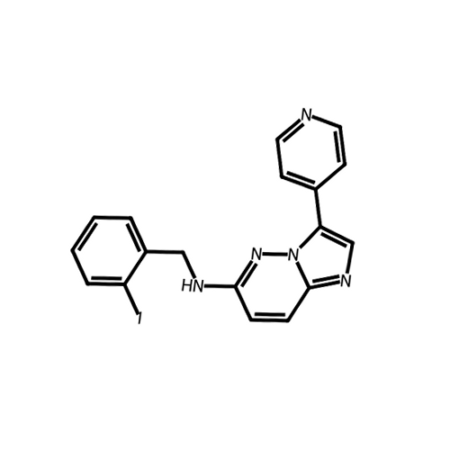 Ic1ccccc1CNc1ccc2ncc(-c3ccncc3)n2n1